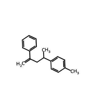 C=C(CC(C)c1ccc(C)cc1)c1ccccc1